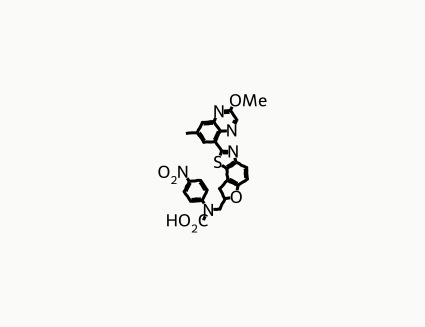 COc1cnc2c(-c3nc4ccc5c(c4s3)CC(CN(C(=O)O)c3ccc([N+](=O)[O-])cc3)O5)cc(C)cc2n1